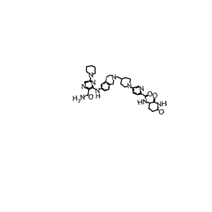 NC(=O)c1ncc(N2CCCCC2)nc1Nc1ccc2c(c1)CCN(CC1CCN(c3ccc(C(=O)NC4CCC(=O)NC4=O)nc3)CC1)C2